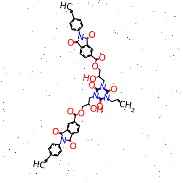 C#Cc1ccc(N2C(=O)c3ccc(C(=O)OCC(O)Cn4c(=O)n(CC=C)c(=O)n(CC(O)COC(=O)c5ccc6c(c5)C(=O)N(c5ccc(C#C)cc5)C6=O)c4=O)cc3C2=O)cc1